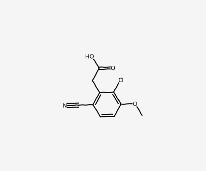 COc1ccc(C#N)c(CC(=O)O)c1Cl